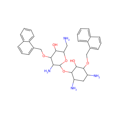 NCC1OC(OC2C(N)CC(N)C(OCc3cccc4ccccc34)C2O)C(N)C(OCc2cccc3ccccc23)C1O